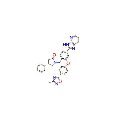 Cc1noc(-c2ccc(Oc3cc(-c4nc5cccnc5[nH]4)ccc3CN3C[C@H](c4ccccc4)CC3=O)cc2)n1